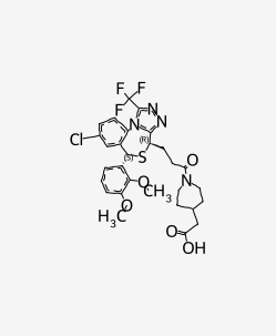 COc1cccc([C@H]2S[C@H](CCC(=O)N3CCC(CC(=O)O)CC3)c3nnc(C(F)(F)F)n3-c3ccc(Cl)cc32)c1OC